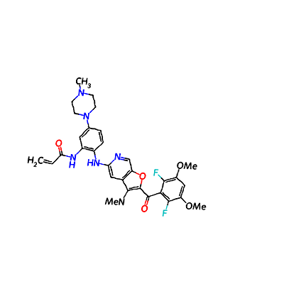 C=CC(=O)Nc1cc(N2CCN(C)CC2)ccc1Nc1cc2c(NC)c(C(=O)c3c(F)c(OC)cc(OC)c3F)oc2cn1